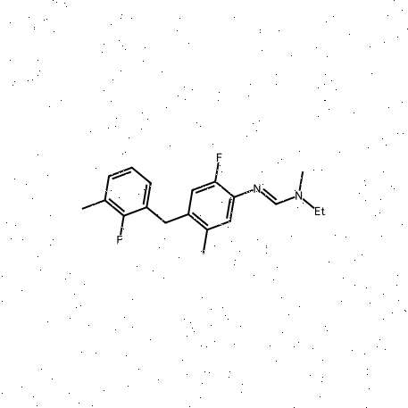 CCN(C)C=Nc1cc(C)c(Cc2cccc(C)c2F)cc1F